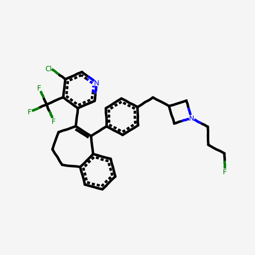 FCCCN1CC(Cc2ccc(C3=C(c4cncc(Cl)c4C(F)(F)F)CCCc4ccccc43)cc2)C1